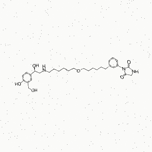 O=C1CNC(=O)N1c1cccc(CCCCCCOCCCCCCNC[C@H](O)c2ccc(O)c(CO)c2)c1